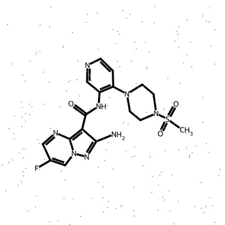 CS(=O)(=O)N1CCN(c2ccncc2NC(=O)c2c(N)nn3cc(F)cnc23)CC1